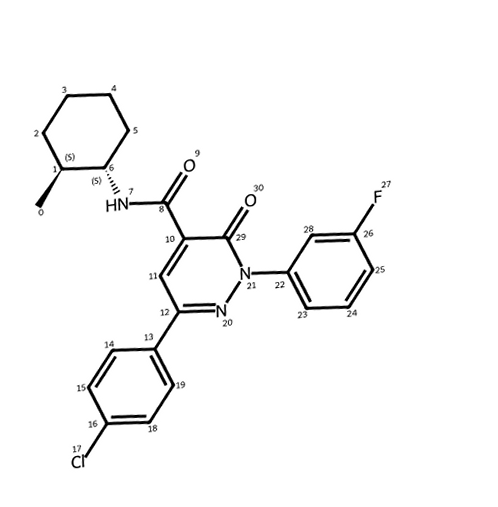 C[C@H]1CCCC[C@@H]1NC(=O)c1cc(-c2ccc(Cl)cc2)nn(-c2cccc(F)c2)c1=O